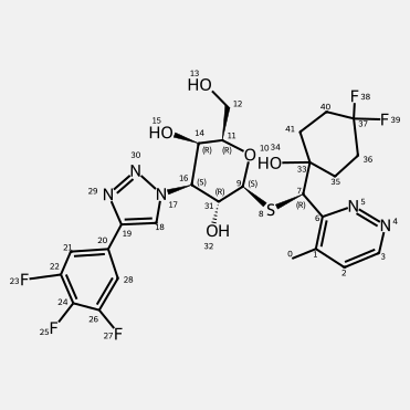 Cc1ccnnc1[C@@H](S[C@@H]1O[C@H](CO)[C@H](O)[C@H](n2cc(-c3cc(F)c(F)c(F)c3)nn2)[C@H]1O)C1(O)CCC(F)(F)CC1